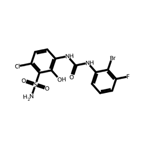 NS(=O)(=O)c1c(Cl)ccc(NC(=O)Nc2cccc(F)c2Br)c1O